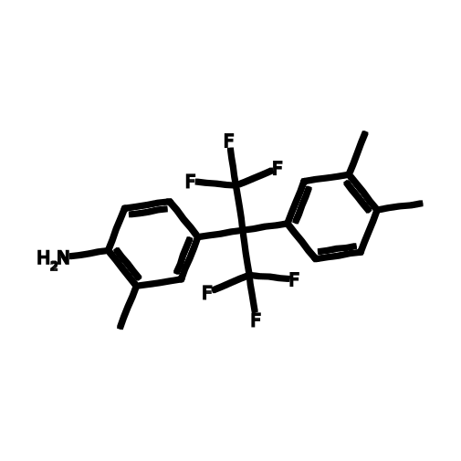 Cc1ccc(C(c2ccc(N)c(C)c2)(C(F)(F)F)C(F)(F)F)cc1C